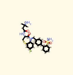 CC(C)(N)CC(=O)N[C@@H]1CSc2cc(F)ccc2N(Cc2ccc(-c3ccccc3S(N)(=O)=O)cc2)C1=O